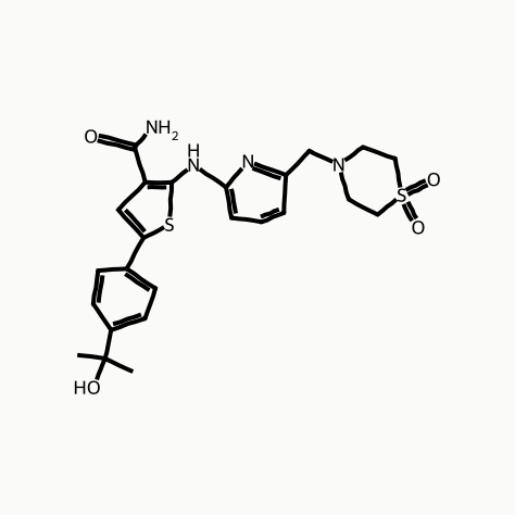 CC(C)(O)c1ccc(-c2cc(C(N)=O)c(Nc3cccc(CN4CCS(=O)(=O)CC4)n3)s2)cc1